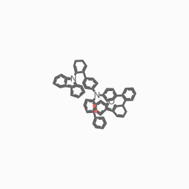 C1=Cc2c(oc3ccccc23)C(c2ccccc2-c2ccc(N(c3ccc(C4=CCCC=C4n4c5ccccc5c5ccccc54)cc3)c3cccc(-c4ccccc4)c3)cc2)C1